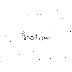 COc1ccc(CNc2ccc(CNC(=O)[C@@H]3CCOC3)cc2)cc1